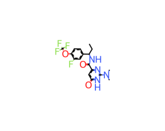 CCC(NC(=O)c1cc(=O)[nH]c(N(C)C)n1)c1ccc(OC(F)(F)F)c(F)c1